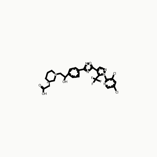 O=C(O)C[C@H]1CCCN(CC(O)c2ccc(-c3noc(-c4cnn(-c5ncc(Cl)cc5Cl)c4C(F)(F)F)n3)cc2)C1